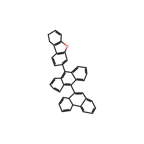 C1=CC2C(c3c4ccccc4c(-c4ccc5c6c(oc5c4)C=CCC6)c4ccccc34)=Cc3ccccc3C2C=C1